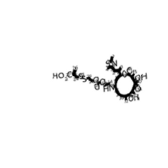 C/C(=C\c1csc(C)n1)C1CCC(NCCOC(=O)OCCSSCC(C)C(=O)O)CCCC(C)C(O)C(C)C(=O)C(C)(C)[C@@H](O)C(C)C(=O)O1